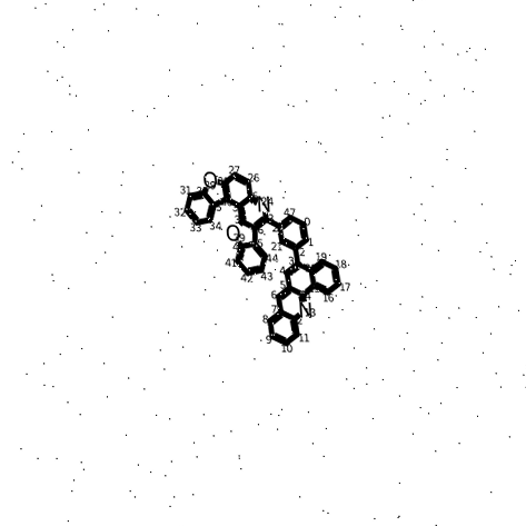 c1cc(-c2cc3cc4ccccc4nc3c3ccccc23)cc(-c2nc3ccc4oc5ccccc5c4c3c3oc4ccccc4c23)c1